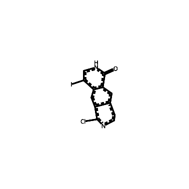 O=c1[nH]cc(I)c2cc3c(Cl)nccc3cc12